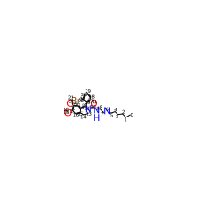 CCCCCCN=CCNC(=O)N1CCc2cc(OC)c(OC)cc2C1c1ccccc1Br